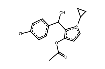 CC(=O)Oc1ccn(C2CC2)c1C(O)c1ccc(Cl)cc1